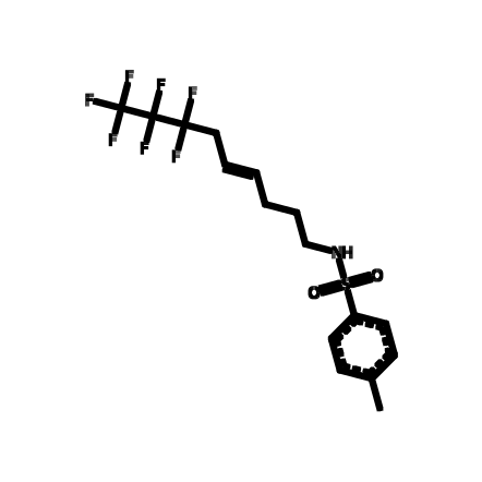 Cc1ccc(S(=O)(=O)NCCCC=CCC(F)(F)C(F)(F)C(F)(F)F)cc1